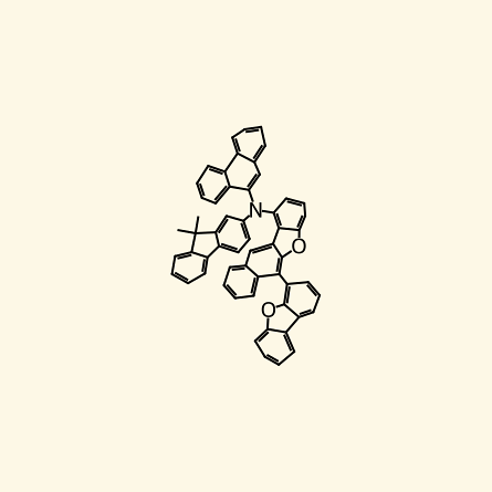 CC1(C)c2ccccc2-c2ccc(N(c3cc4ccccc4c4ccccc34)c3cccc4oc5c(-c6cccc7c6oc6ccccc67)c6ccccc6cc5c34)cc21